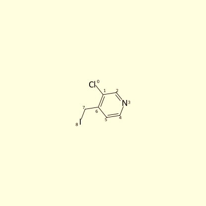 Clc1cnccc1CI